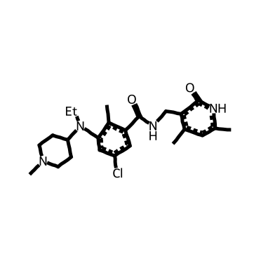 CCN(c1cc(Cl)cc(C(=O)NCc2c(C)cc(C)[nH]c2=O)c1C)C1CCN(C)CC1